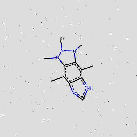 Cc1c2c(c(C)c3[nH]cnc13)N(C)N(C(C)C)N2C